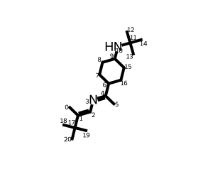 C/C(=C\N=C(/C)C1CCC(NC(C)(C)C)CC1)C(C)(C)C